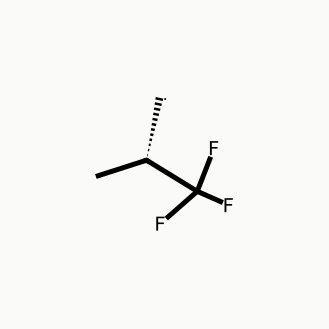 [CH2][C@@H](C)C(F)(F)F